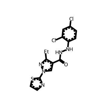 CCc1nn(-c2nccs2)cc1C(=O)NNc1ccc(Cl)cc1Cl